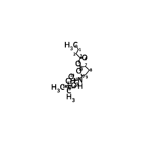 CCCC(=O)OC1CCCC(NC(=O)OC(C)(C)C)O1